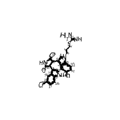 N=C(N)SCCCn1cc(C2=C(c3c[nH]c4ccc(Cl)cc34)C(=O)NC2=O)c2cc(Cl)ccc21